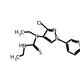 CCNC(=S)N(CC)c1cn(-c2cccnc2)nc1Cl